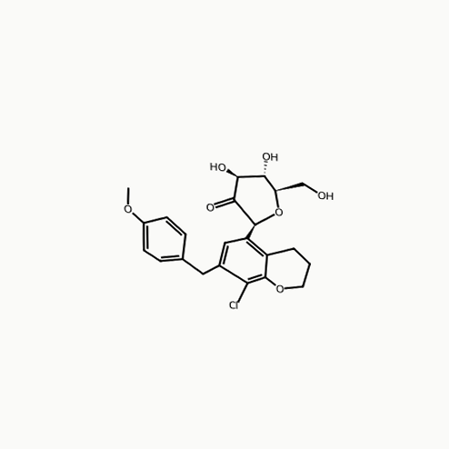 COc1ccc(Cc2cc([C@@H]3O[C@H](CO)[C@@H](O)[C@H](O)C3=O)c3c(c2Cl)OCCC3)cc1